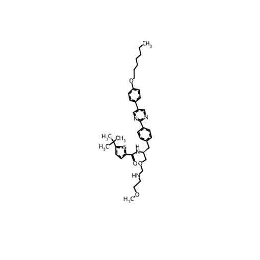 CCCCCCCOc1ccc(-c2cnc(-c3ccc(C[C@@H](COCNCCOC)NC(=O)c4ccc(C(C)(C)C)s4)cc3)nc2)cc1